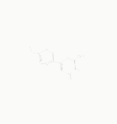 COc1ccc(-c2c[nH]c(=O)c(N)c2)nn1